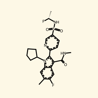 CNC(=O)c1c(-c2ccc(S(=O)(=O)N[C@@H](C)F)cn2)n(C2CCCC2)c2cc(C)c(F)cc12